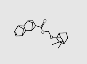 CC1(C)C2CCC(CC2)C1OCOC(=O)C1CC2CC1C1C3C=CC(C3)C21